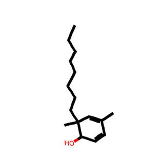 CCCCCCCCC1(C)C=C(C)C=CC1O